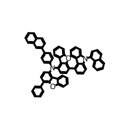 c1ccc(-c2ccc(N(c3ccc(-c4ccc5ccccc5c4)cc3)c3ccc(-c4cccc5c4c4ccccc4n5-c4cccc5ccccc45)c4oc5ccccc5c34)c3c2oc2ccccc23)cc1